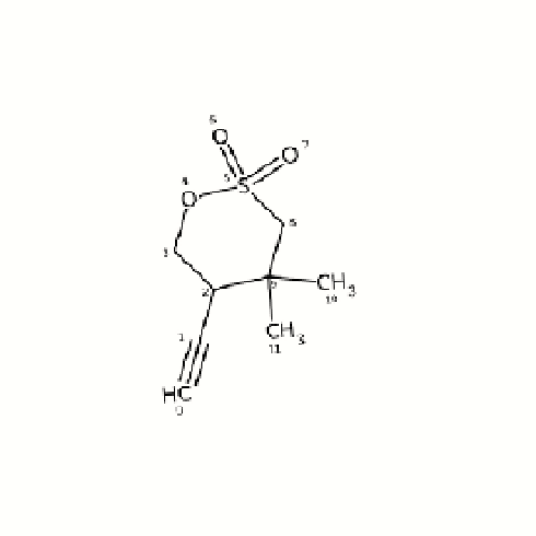 C#CC1COS(=O)(=O)CC1(C)C